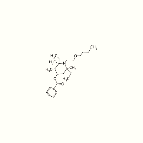 CCCCOCCN1C(C)(CC)CC(OC(=O)c2ccccc2)C(C)C1(C)CC